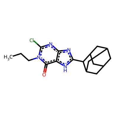 CCCn1c(Cl)nc2nc(C3C4CC5CC(C4)CC3C5)[nH]c2c1=O